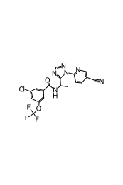 CC(NC(=O)c1cc(Cl)cc(OC(F)(F)F)c1)c1ncnn1-c1ccc(C#N)cn1